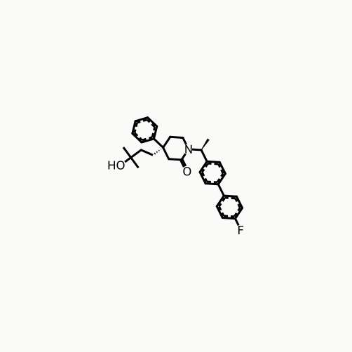 C[C@@H](c1ccc(-c2ccc(F)cc2)cc1)N1CC[C@](CCC(C)(C)O)(c2ccccc2)CC1=O